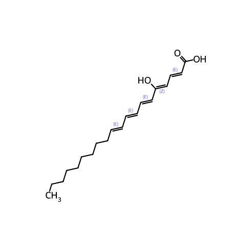 CCCCCCCCC/C=C/C=C/C=C/C(O)=C/C=C/C(=O)O